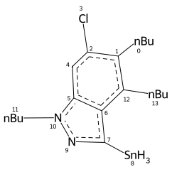 CCCCc1c(Cl)cc2c([c]([SnH3])nn2CCCC)c1CCCC